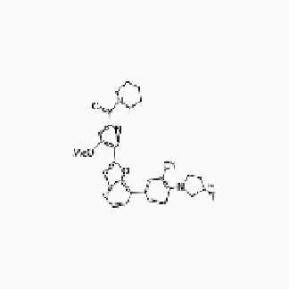 COc1cc(C(=O)N2CCCCC2)ncc1-c1cc2nccc(-c3ccc(N4CC[C@@H](F)C4)c(C#N)c3)c2o1